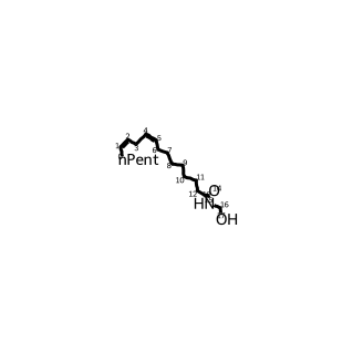 CCCCC/C=C\C/C=C\CCCCCCCC(=O)NCO